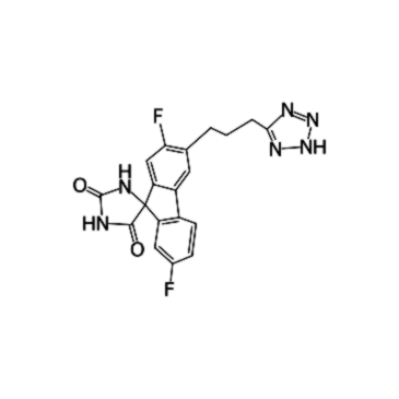 O=C1NC(=O)C2(N1)c1cc(F)ccc1-c1cc(CCCc3nn[nH]n3)c(F)cc12